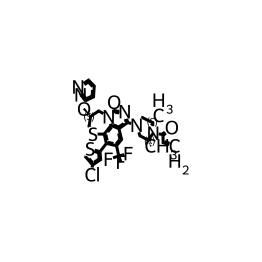 C=CC(=O)N1[C@H](C)CN(c2nc(=O)n3c4c(c(-c5cc(Cl)cs5)c(C(F)(F)F)cc24)SC[C@@H](Oc2cccnn2)C3)C[C@@H]1C